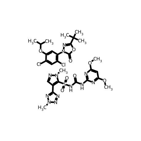 CC(C)Oc1cc(-n2nc(C(C)(C)C)oc2=O)c(Cl)cc1Cl.COc1cc(OC)nc(NC(=O)NS(=O)(=O)c2c(-c3nnn(C)n3)cnn2C)n1